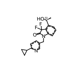 C[C@H](O)c1cccc2c1C(F)(F)C(=O)N2Cc1ccc(C2CC2)nc1